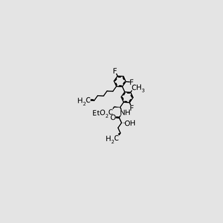 C=CCCCCc1cc(F)cc(F)c1-c1cc([C@H](CC(=O)OCC)NC(=O)[C@H](O)CC=C)c(F)cc1C